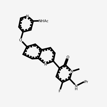 CC(=O)Nc1cc(Oc2ccc3nc(-c4cc(F)c(NC(C)C)n(C)c4=O)ccc3c2)ccn1